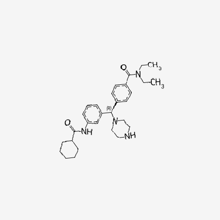 CCN(CC)C(=O)c1ccc([C@H](c2cccc(NC(=O)C3CCCCC3)c2)N2CCNCC2)cc1